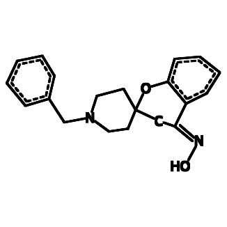 O/N=C1\CC2(CCN(Cc3ccccc3)CC2)Oc2ccccc21